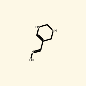 ON=CC1=CNCNC1